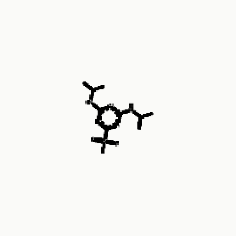 CC(C)Nc1nc(NC(C)C)nc(S(C)(=O)=O)n1